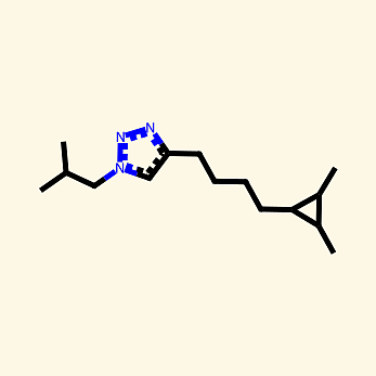 CC(C)Cn1cc(CCCCC2C(C)C2C)nn1